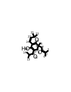 CC(C)=CCC1(C)C(=O)C(C(=O)C(C)C)=C(O)C2=C1OC(C)(C)C=C2